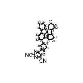 N#Cc1nc(C#N)c2sc3ccc(-c4ccc5c(c4)C4(c6ccccc6-c6ccccc64)c4ccccc4-5)cc3c2n1